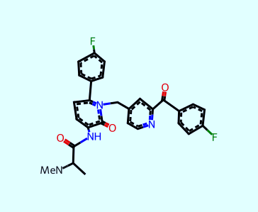 CNC(C)C(=O)Nc1ccc(-c2ccc(F)cc2)n(Cc2ccnc(C(=O)c3ccc(F)cc3)c2)c1=O